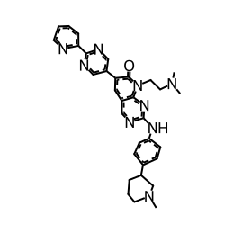 CN(C)CCn1c(=O)c(-c2cnc(-c3ccccn3)nc2)cc2cnc(Nc3ccc(C4CCCN(C)C4)cc3)nc21